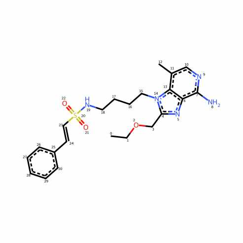 CCOCc1nc2c(N)ncc(C)c2n1CCCCNS(=O)(=O)C=Cc1ccccc1